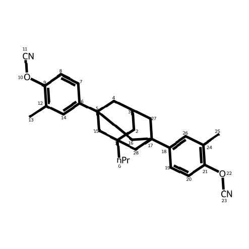 CCCC12CC3CC(c4ccc(OC#N)c(C)c4)(C1)CC(c1ccc(OC#N)c(C)c1)(C3)C2